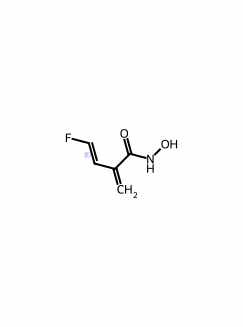 C=C(/C=C/F)C(=O)NO